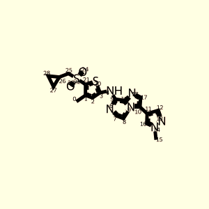 Cc1cc(Nc2nccn3c(-c4cnn(C)c4)cnc23)sc1S(=O)(=O)CC1CC1